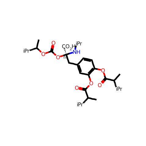 CC(C)N[C@@](Cc1ccc(OC(=O)C(C)C(C)C)c(OC(=O)C(C)C(C)C)c1)(OC(=O)OC(C)C(C)C)C(=O)O